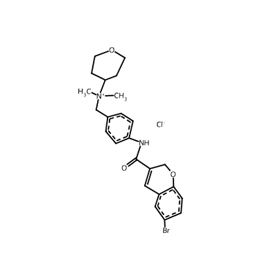 C[N+](C)(Cc1ccc(NC(=O)C2=Cc3cc(Br)ccc3OC2)cc1)C1CCOCC1.[Cl-]